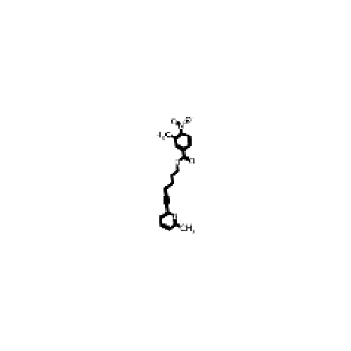 Cc1cccc(C#CCCCCOC(=O)c2ccc([N+](=O)[O-])c(C)c2)n1